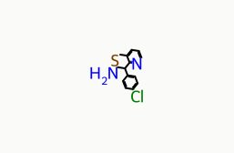 Cc1cccnc1C(C(N)=S)c1ccc(Cl)cc1